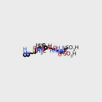 Cc1cc(OCCCC(=O)NCCNC(=O)[C@H](CS(=O)(=O)O)NC(=O)[C@@H](N)CS(=O)(=O)O)cc(C)c1S(=O)(=O)N[C@@H](CNC(=O)c1ccc(CCc2ccc3c(n2)NCCC3)s1)C(=O)O